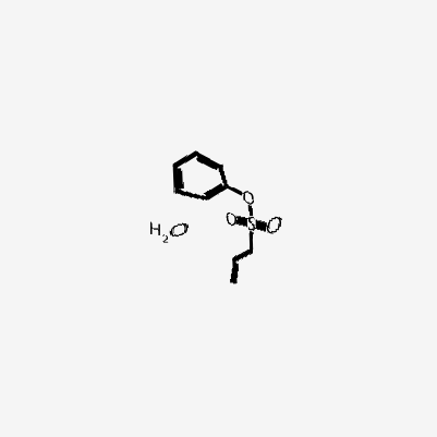 C=CCS(=O)(=O)Oc1ccccc1.O